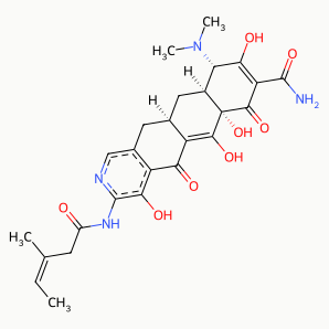 C/C=C(/C)CC(=O)Nc1ncc2c(c1O)C(=O)C1=C(O)[C@]3(O)C(=O)C(C(N)=O)=C(O)[C@@H](N(C)C)[C@@H]3C[C@@H]1C2